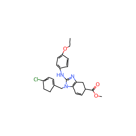 CCOc1ccc(Nc2nc3c(n2CC2=CC=C(Cl)CC2)C=CC(C(=O)OC)C3)cc1